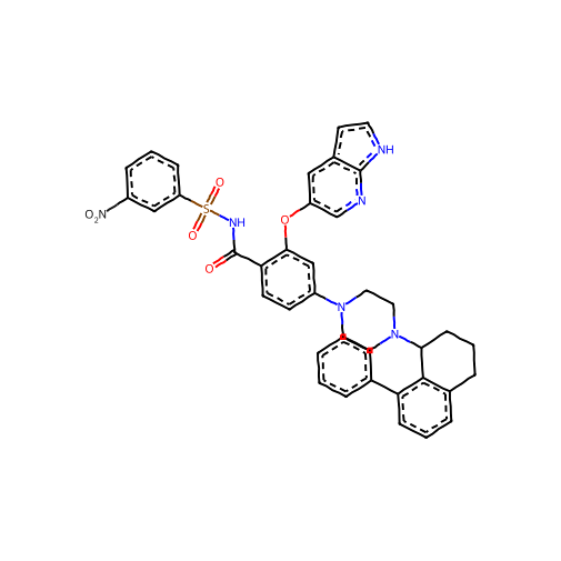 O=C(NS(=O)(=O)c1cccc([N+](=O)[O-])c1)c1ccc(N2CCN(C3CCCc4cccc(-c5ccccc5)c43)CC2)cc1Oc1cnc2[nH]ccc2c1